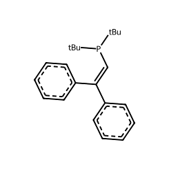 CC(C)(C)P(C=C(c1ccccc1)c1ccccc1)C(C)(C)C